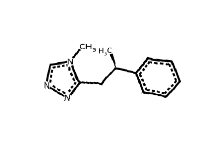 C[C@H](Cc1nncn1C)c1[c]cccc1